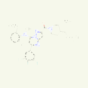 CCOC(=O)CC1CCN(C(=O)c2cc3nc(-c4cc(F)c(F)c(F)c4)cc(N(C)c4c(C)cccc4OC)n3n2)CC1OC